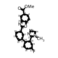 COC(=O)c1ccc2oc(-c3cccc(-c4ccc(F)cc4-c4nncn4C)c3)nc2c1